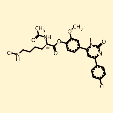 COc1cc(-c2cc(-c3ccc(Cl)cc3)nc(=O)[nH]2)ccc1OC(=O)[C@@H](CCCCNCl)NC(C)=O